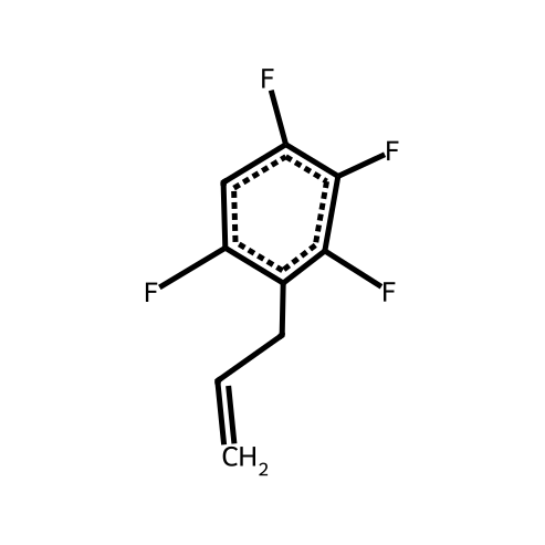 C=CCc1c(F)cc(F)c(F)c1F